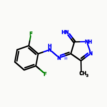 CC1=NNC(=N)/C1=N\Nc1c(F)cccc1F